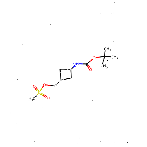 CC(C)(C)OC(=O)N[C@H]1C[C@H](COS(C)(=O)=O)C1